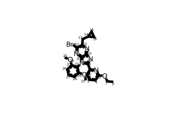 CCOc1cccc(-c2nc3nc(CC4CC4)c(Br)nc3n2-c2c(OC)cccc2OC)n1